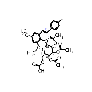 COc1cc(/C=C/c2ccc(F)cc2)c(O[C@@H]2O[C@H](COC(C)=O)[C@@H](OC(C)=O)[C@H](OC(C)=O)[C@H]2OC(C)=O)c(OC)c1